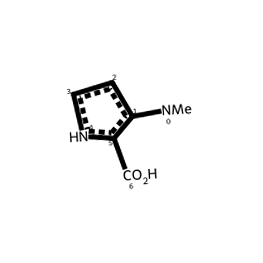 CNc1cc[nH]c1C(=O)O